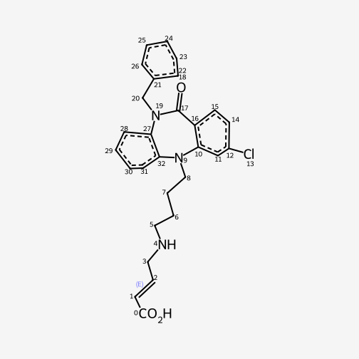 O=C(O)/C=C/CNCCCCN1c2cc(Cl)ccc2C(=O)N(Cc2ccccc2)c2ccccc21